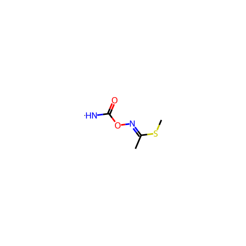 CSC(C)=NOC([NH])=O